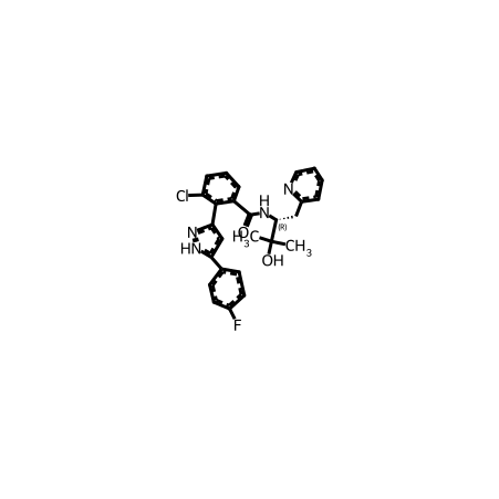 CC(C)(O)[C@@H](Cc1ccccn1)NC(=O)c1cccc(Cl)c1-c1cc(-c2ccc(F)cc2)[nH]n1